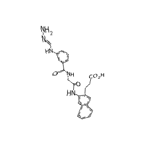 NN=CNc1cccc(C(=O)NCC(=O)Nc2cc3ccccc3cc2CCC(=O)O)c1